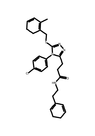 CC1=C(CSc2nnc(CCC(=O)NCCC3=CCCC=C3)n2-c2ccc(Cl)cc2)CCC=C1